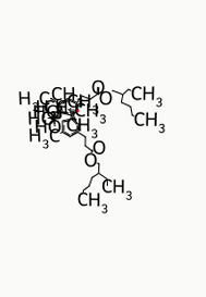 CCCCC(CC)COC(=O)CCc1cc(C)c(P(O)(O)(O)c2c(C)cc(CCC(=O)OCC(CC)CCCC)cc2C(C)(C)C)c(C(C)(C)C)c1